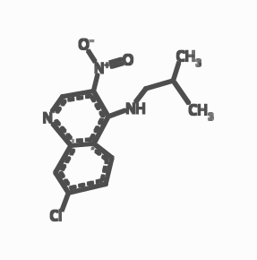 CC(C)CNc1c([N+](=O)[O-])cnc2cc(Cl)ccc12